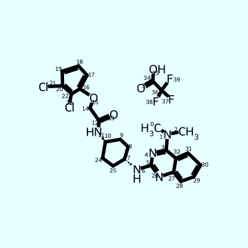 CN(C)c1nc(N[C@H]2CC[C@@H](NC(=O)COc3cccc(Cl)c3Cl)CC2)nc2ccccc12.O=C(O)C(F)(F)F